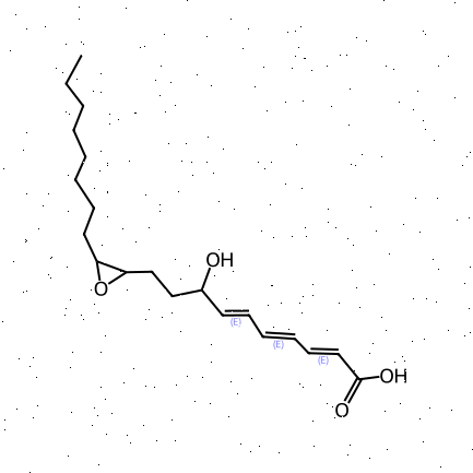 CCCCCCCCC1OC1CCC(O)/C=C/C=C/C=C/C(=O)O